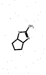 CC1=NC2CCCC2S1